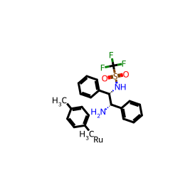 Cc1ccc(C)cc1.N[C@@H](c1ccccc1)[C@@H](NS(=O)(=O)C(F)(F)F)c1ccccc1.[Ru]